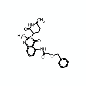 C=C1CCC(n2c(C)nc3cccc(NC(=O)COCc4ccccc4)c3c2=O)C(=O)N1